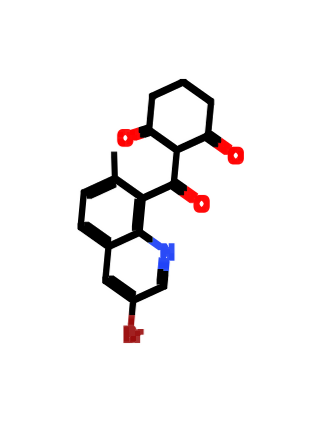 Cc1ccc2cc(Br)cnc2c1C(=O)C1C(=O)CCCC1=O